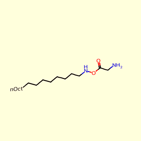 CCCCCCCCCCCCCCCCNOC(=O)CN